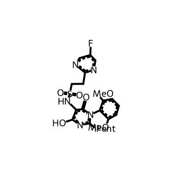 CCCC(C)c1nc(O)c(NS(=O)(=O)CCc2ncc(F)cn2)c(=O)n1-c1c(OC)cccc1OC